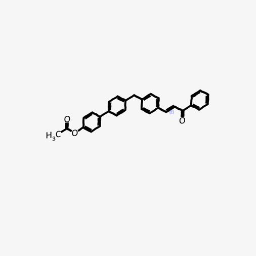 CC(=O)Oc1ccc(-c2ccc(Cc3ccc(/C=C/C(=O)c4ccccc4)cc3)cc2)cc1